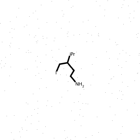 CC(C)C(CI)CCN